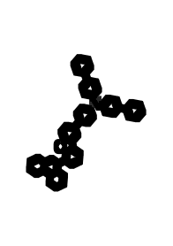 C1=Cc2cc(-c3cccc4c3oc3ccc(-c5ccc(N(c6ccc(-c7ccccc7)cc6)c6ccc(-c7ccccc7)cc6)cc5)cc34)c3c(c2CC1)CCC=C3